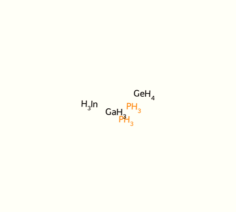 P.P.[GaH3].[GeH4].[InH3]